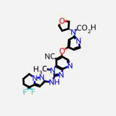 Cn1c(Nc2cc3n(n2)CCCC3(F)F)nc2ncc(Oc3ccnc(N(C(=O)O)[C@@H]4CCOC4)c3)c(C#N)c21